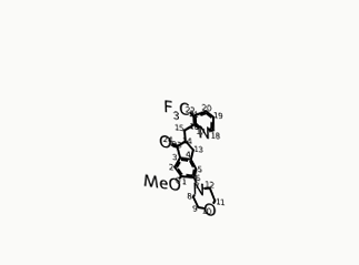 COc1cc2c(cc1N1CCOCC1)CC(Cc1ncccc1C(F)(F)F)C2=O